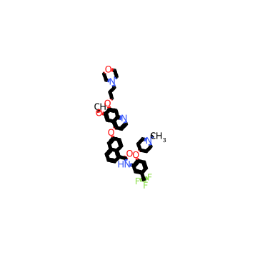 COc1cc2c(Oc3ccc4c(C(=O)Nc5cc(C(F)(F)F)ccc5OC5CCN(C)CC5)cccc4c3)ccnc2cc1OCCCN1CCOCC1